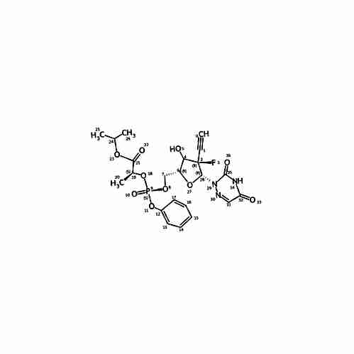 C#C[C@@]1(F)C(O)[C@@H](CO[P@](=O)(Oc2ccccc2)O[C@@H](C)C(=O)OC(C)C)O[C@H]1n1ncc(=O)[nH]c1=O